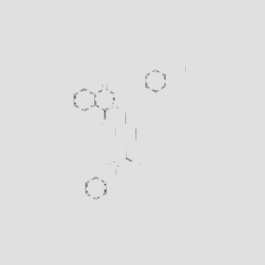 Cc1ccc(CSc2nc3ccccc3c(=O)n2CC2CCC(C(=O)NCc3ccccc3)CC2)cc1